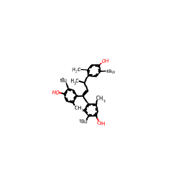 Cc1cc(O)c(C(C)(C)C)cc1C(=CC(C)c1cc(C(C)(C)C)c(O)cc1C)c1cc(C(C)(C)C)c(O)cc1C